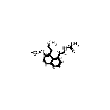 CCCc1c(OC)ccc2cccc(CCNC(C)=O)c12